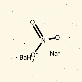 O=[N+]([O-])[O-].[BaH2].[Na+]